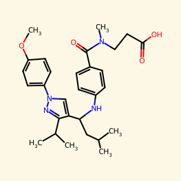 COc1ccc(-n2cc(C(CC(C)C)Nc3ccc(C(=O)N(C)CCC(=O)O)cc3)c(C(C)C)n2)cc1